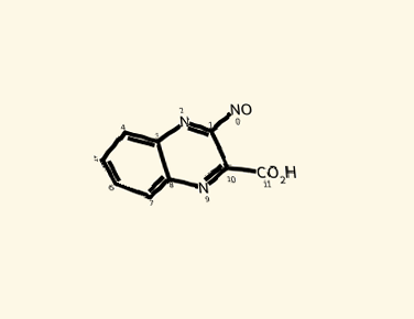 O=Nc1nc2ccccc2nc1C(=O)O